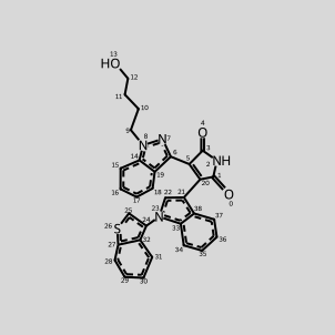 O=C1NC(=O)C(c2nn(CCCCO)c3ccccc23)=C1c1cn(-c2csc3ccccc23)c2ccccc12